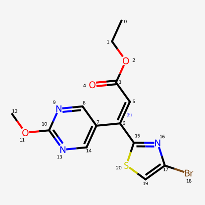 CCOC(=O)/C=C(\c1cnc(OC)nc1)c1nc(Br)cs1